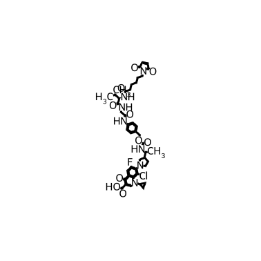 CC(NC(=O)OCc1ccc(NC(=O)CNC(=O)[C@@H](NC(=O)CCCCCN2C(=O)C=CC2=O)C(C)C)cc1)C1CCN(c2c(F)cc3c(=O)c(C(=O)O)cn(C4CC4)c3c2Cl)C1